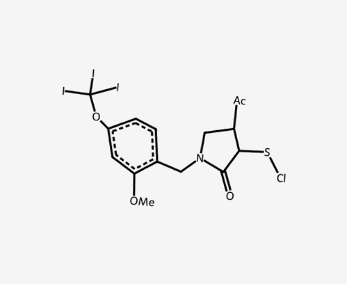 COc1cc(OC(I)(I)I)ccc1CN1CC(C(C)=O)C(SCl)C1=O